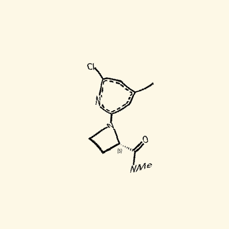 CNC(=O)[C@@H]1CCN1c1cc(C)cc(Cl)n1